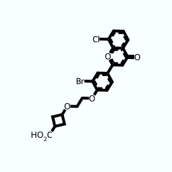 O=C(O)C1CC(OCCOc2ccc(-c3cc(=O)c4cccc(Cl)c4o3)cc2Br)C1